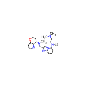 CCN(CCN(C)C)c1cccc2nc(CN(C)[C@H]3CCOc4cccnc43)cn12